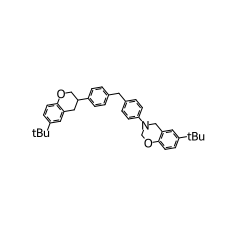 CC(C)(C)c1ccc2c(c1)CC(c1ccc(Cc3ccc(N4COc5ccc(C(C)(C)C)cc5C4)cc3)cc1)CO2